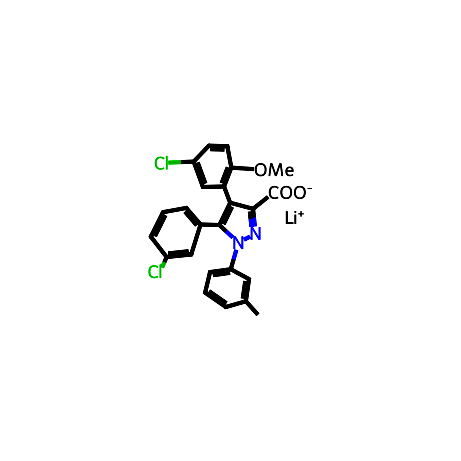 COc1ccc(Cl)cc1-c1c(C(=O)[O-])nn(-c2cccc(C)c2)c1-c1cccc(Cl)c1.[Li+]